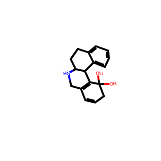 OC1(O)CC=CC2=C1C1c3ccccc3CCC1NC2